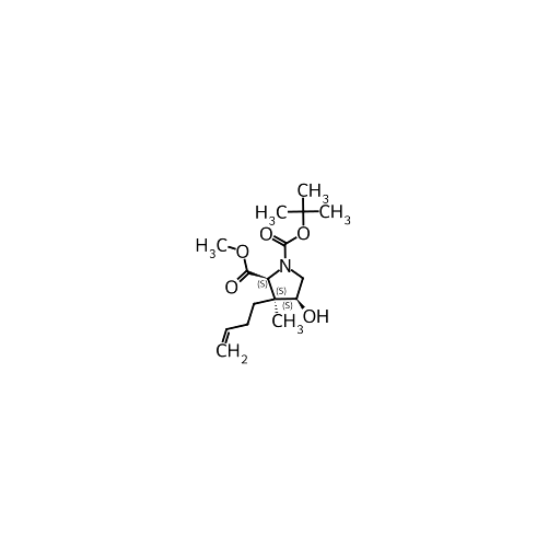 C=CCC[C@]1(C)[C@H](O)CN(C(=O)OC(C)(C)C)[C@@H]1C(=O)OC